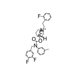 Cc1cccc(N(Cc2ccc(F)c(F)c2)C(=O)O[C@H]2C[N+]3(CCc4ccccc4F)CCC2CC3)c1